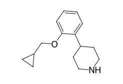 c1ccc(C2CCNCC2)c(OCC2CC2)c1